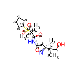 CC(C)(CO)c1cc(NC(=O)C(C)(C)S(=O)(=O)C2CCCC2)on1